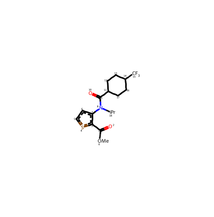 COC(=O)c1sccc1N(C(=O)C1CCC(C(F)(F)F)CC1)C(C)C